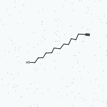 C#CCCCCCCCCCCCCS